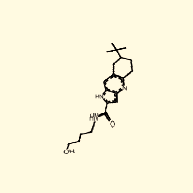 CC(C)(C)C1CCc2nc3cc(C(=O)NCCCCO)[nH]c3cc2C1